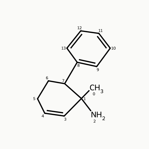 CC1(N)C=CCCC1c1ccccc1